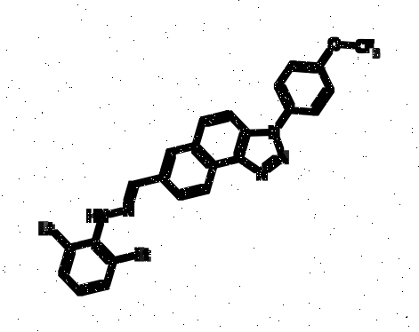 CCc1cccc(CC)c1N/N=C/c1ccc2c(ccc3c2nnn3-c2ccc(OC(F)(F)F)cc2)c1